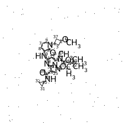 CO[C@H]1C[C@H](n2cccc(Nc3cc(N(C)C(=O)OC(C)(C)C)n4ncc(C(=O)NC5CC5)c4n3)c2=O)C1